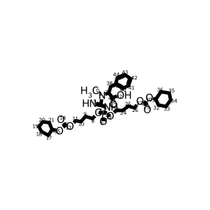 CN(C(=N)NP(=O)(OCCCCOC(=O)OC1CCCCC1)OCCCCOC(=O)OC1CCCCC1)C(Cc1ccccc1)C(=O)O